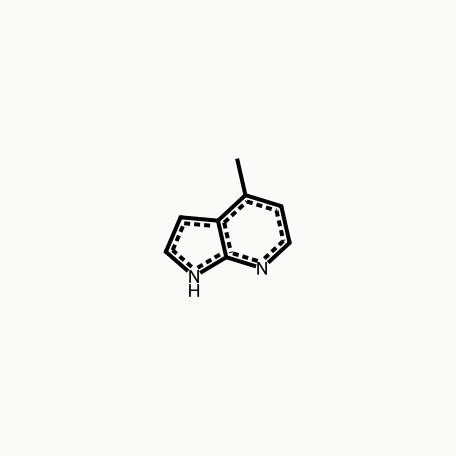 Cc1ccnc2[nH]ccc12